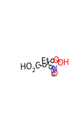 CCC(=C(c1ccc(C=CC(=O)O)cc1)c1ccc2c(cnn2C2CCCCO2)c1)c1ccc(OCCO)cc1